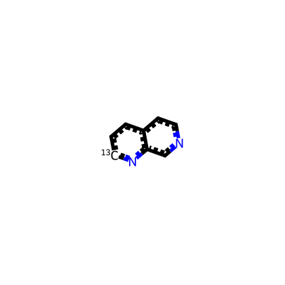 c1cc2ccncc2n[13cH]1